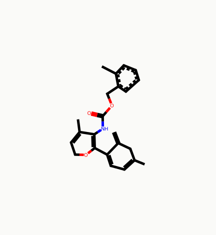 C=C1CC(C)=CC=C1C1=C(NC(=O)OCc2ccccc2C)C(C)=CCO1